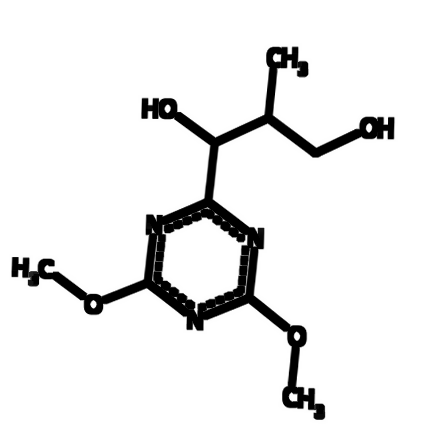 COc1nc(OC)nc(C(O)C(C)CO)n1